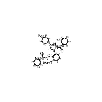 COc1cccc(C2SC(c3ccc(F)cc3)=NN2C(=O)c2ccccc2C)c1OCC(=O)c1ccccn1